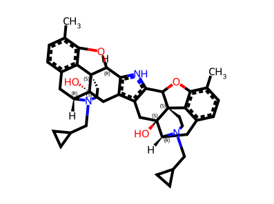 Cc1ccc2c3c1OC1c4[nH]c5c(c4C[C@@]4(O)[C@@H](C2)N(CC2CC2)CC[C@]314)C[C@@]1(O)[C@H]2Cc3ccc(C)c4c3[C@@]1(CCN2CC1CC1)[C@H]5O4